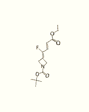 CCOC(=O)/C=C/C(F)=C1CN(C(=O)OC(C)(C)C)C1